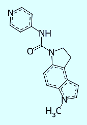 Cn1ccc2c3c(ccc21)N(C(=O)Nc1ccncc1)CC3